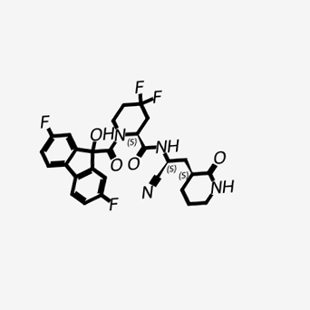 N#C[C@H](C[C@@H]1CCCNC1=O)NC(=O)[C@@H]1CC(F)(F)CCN1C(=O)C1(O)c2cc(F)ccc2-c2ccc(F)cc21